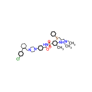 CCN(CC)C[C@H](CSc1ccccc1)Nc1ccc(S(=O)(=O)NC(=O)c2ccc(N3CCN(CC4=C(c5ccc(Cl)cc5)CCCC4)CC3)cc2)cc1C